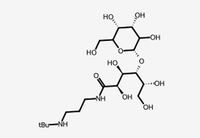 CC(C)(C)NCCCNC(=O)[C@H](O)[C@@H](O)[C@H](O[C@@H]1OC(CO)[C@H](O)[C@H](O)C1O)[C@H](O)CO